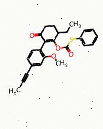 CC#Cc1ccc(C2=C(OC(=O)Sc3ccccc3)C(CC)CCC2=O)c(OC)c1